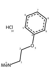 CNCCOc1ccccc1.Cl